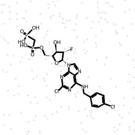 O=P(O)(O)CP(=O)(O)OC[C@H]1O[C@@H](n2cnc3c(NCc4ccc(Cl)cc4)nc(Cl)nc32)[C@@H](F)[C@@H]1O